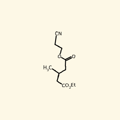 CCOC(=O)CC(C)CC(=O)OCCC#N